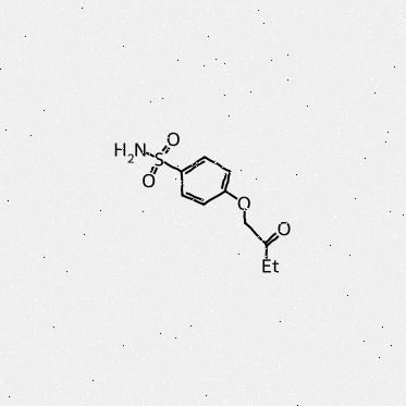 CCC(=O)COc1ccc(S(N)(=O)=O)cc1